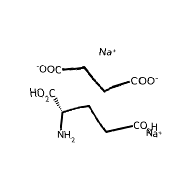 N[C@@H](CCC(=O)O)C(=O)O.O=C([O-])CCC(=O)[O-].[Na+].[Na+]